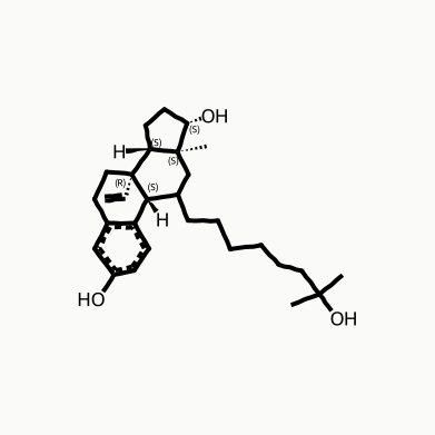 C=C[C@@]12CCc3cc(O)ccc3[C@H]1C(CCCCCCC(C)(C)O)C[C@@]1(C)[C@H]2CC[C@@H]1O